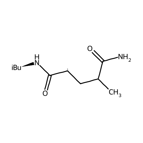 CC[C@H](C)NC(=O)[CH]CC(C)C(N)=O